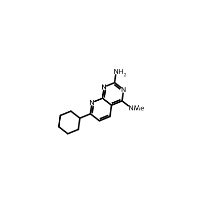 CNc1nc(N)nc2nc(C3CCCCC3)ccc12